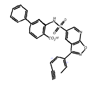 C#C/C=C\C(=C/C)c1noc2ncc(S(=O)(=O)Nc3cc(-c4ccccc4)ccc3C(=O)O)cc12